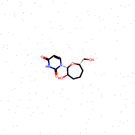 O=c1ccn([C@@H]2O[C@H](CO)CCC[C@H]2O)c(=O)[nH]1